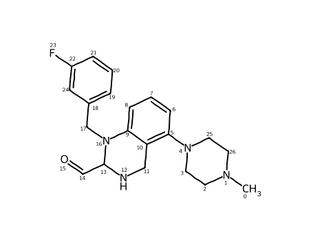 CN1CCN(c2cccc3c2CNC(C=O)N3Cc2cccc(F)c2)CC1